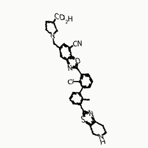 Cc1c(-c2nc3c(s2)CNCC3)cccc1-c1cccc(-c2nc3cc(CN4CCC(C(=O)O)C4)cc(C#N)c3o2)c1Cl